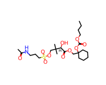 CCCCOC(=O)OC1(COC(=O)[C@H](O)C(C)(C)COS(=O)(=O)CCCNC(C)=O)CCCCC1